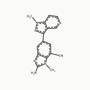 Cn1nc(-c2cc(C#N)c3c(c2)nc(N)n3C)c2cnccc21